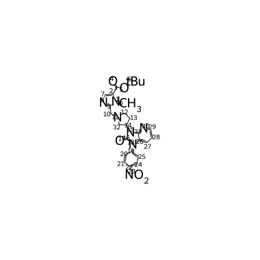 Cn1c(C(=O)OC(C)(C)C)cnc1CN1CCC(n2c(=O)n(-c3ccc([N+](=O)[O-])cc3)c3cccnc32)C1